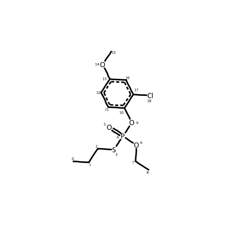 CCCSP(=O)(OCC)Oc1ccc(OC)cc1Cl